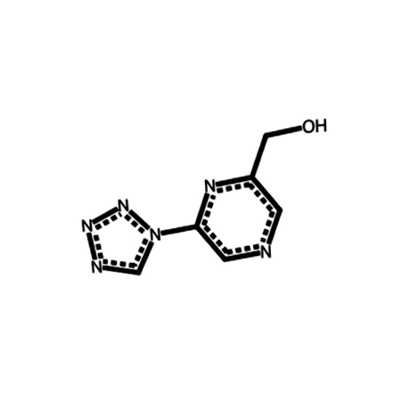 OCc1cncc(-n2cnnn2)n1